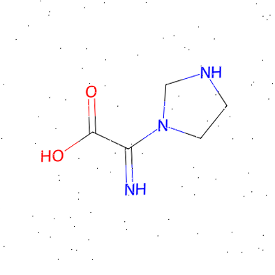 N=C(C(=O)O)N1CCNC1